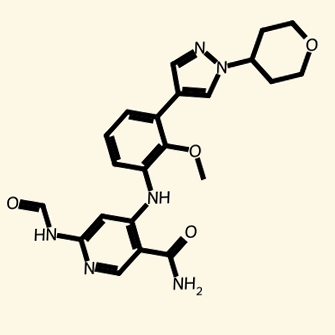 COc1c(Nc2cc(NC=O)ncc2C(N)=O)cccc1-c1cnn(C2CCOCC2)c1